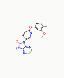 COc1cc(Oc2ccc(-n3c(=O)[nH]c4nccnc43)cn2)ccc1C